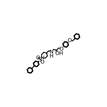 O=S(=O)(c1ccc(-c2ccccc2)cc1)N1CCC(CNC[C@H](O)COc2ccc(OCc3ccccc3)cc2)CC1